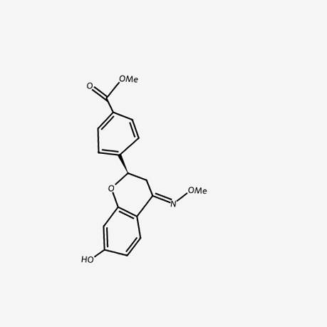 CON=C1C[C@H](c2ccc(C(=O)OC)cc2)Oc2cc(O)ccc21